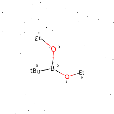 CCOB(OCC)C(C)(C)C